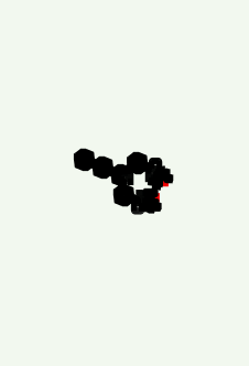 CC(C)(C)C1(C(C)(C)C)COC(c2cccc(-c3cc(-c4ccc(-c5ccccc5)cc4)cc(-c4cccc(C5=NC(C(C)(C)C)(C(C)(C)C)CO5)c4)n3)c2)=N1